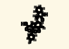 Cc1ccc(S(=O)(=O)n2c(C(=O)O)cc3c([C@@H]4C[C@@]45C(=O)Nc4ccccc45)cn(C)c(=O)c32)cc1